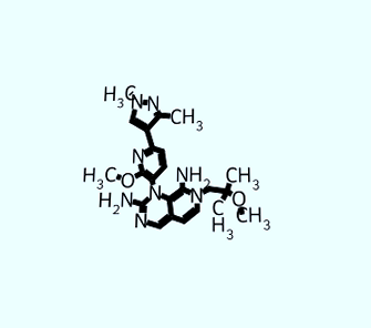 COc1nc(-c2cn(C)nc2C)ccc1N1C(N)=NC=C2C=CN(CC(C)(C)OC)C(N)=C21